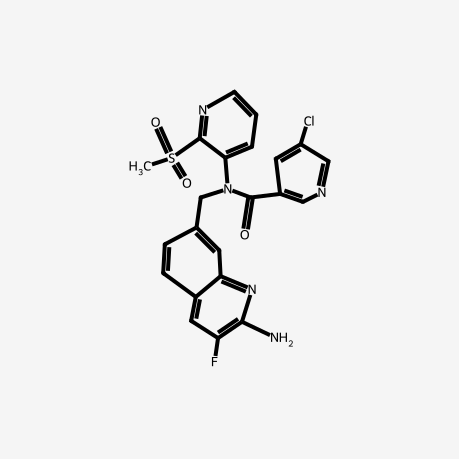 CS(=O)(=O)c1ncccc1N(Cc1ccc2cc(F)c(N)nc2c1)C(=O)c1cncc(Cl)c1